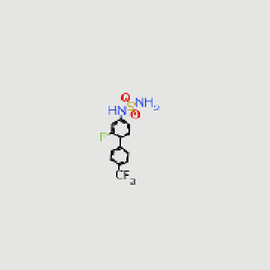 NS(=O)(=O)Nc1ccc(-c2ccc(C(F)(F)F)cc2)c(F)c1